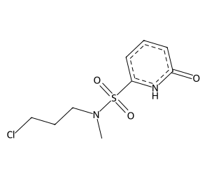 CN(CCCCl)S(=O)(=O)c1cccc(=O)[nH]1